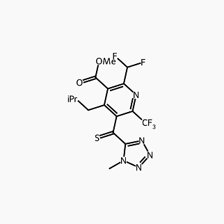 COC(=O)c1c(C(F)F)nc(C(F)(F)F)c(C(=S)c2nnnn2C)c1CC(C)C